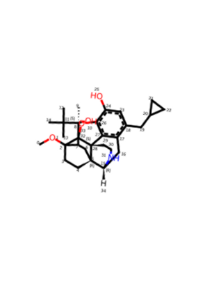 COC12CC[C@]3(CC1[C@](C)(O)C(C)(C)C)[C@H]1Cc4c(CC5CC5)cc(O)c5c4[C@@]3(CCN1)C2O5